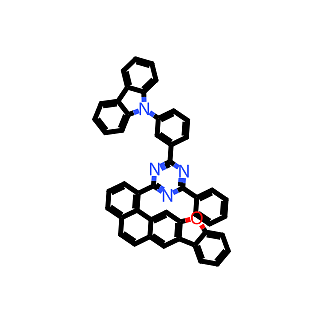 c1ccc(-c2nc(-c3cccc(-n4c5ccccc5c5ccccc54)c3)nc(-c3cccc4ccc5cc6c(cc5c34)oc3ccccc36)n2)cc1